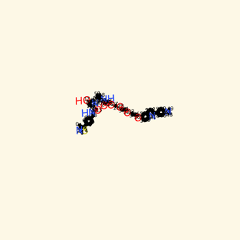 Cc1ncsc1-c1ccc(CNC(=O)[C@@H]2C[C@@H](O)CN2C[C@@H](NC(=O)COCCOCCOCCCOc2ccc3nc(-c4ccc(N(C)C)cc4)ccc3c2)C(C)(C)C)cc1